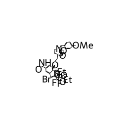 CCOP(=O)(OCC)C(F)(F)c1sc2c(OCCC3CCN(Cc4ccc(OC)cc4)S3(=O)=O)cc(C(N)=O)cc2c1Br